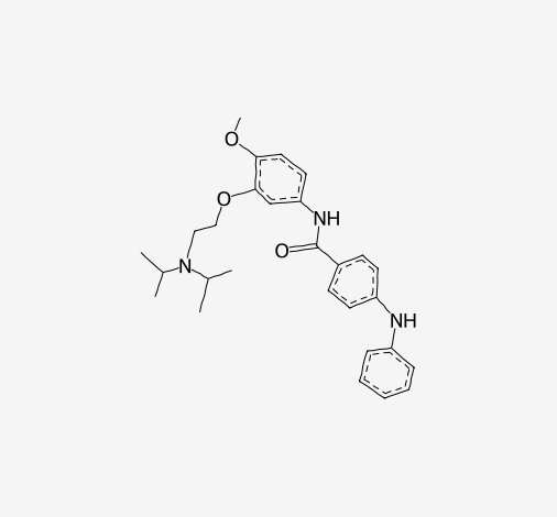 COc1ccc(NC(=O)c2ccc(Nc3ccccc3)cc2)cc1OCCN(C(C)C)C(C)C